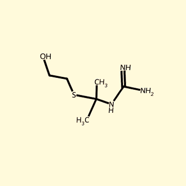 CC(C)(NC(=N)N)SCCO